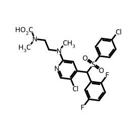 CN(CCN(C)c1cc(C(c2cc(F)ccc2F)S(=O)(=O)c2ccc(Cl)cc2)c(Cl)cn1)C(=O)O